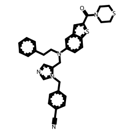 N#Cc1ccc(Cn2cncc2CN(CCc2ccccc2)c2ccc3sc(C(=O)N4CCSCC4)cc3c2)cc1